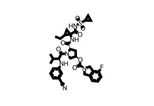 CCC1CC1(NC(=O)[C@@H]1C[C@@H](OC(=O)N2Cc3cccc(F)c3C2)CN1C(=O)[C@@H](Nc1cccc(C#N)c1)C(C)C)C(=O)NS(=O)(=O)C1CC1